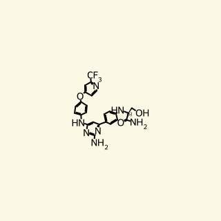 NC(=O)[C@H](CO)Nc1ccc(-c2cc(Nc3ccc(Oc4ccnc(C(F)(F)F)c4)cc3)nc(N)n2)cc1